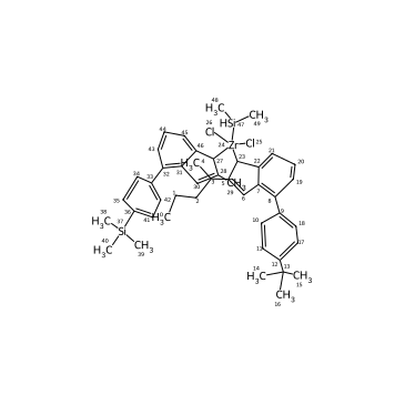 CCCC(C)C1=Cc2c(-c3ccc(C(C)(C)C)cc3)cccc2[CH]1[Zr]([Cl])([Cl])([CH]1C(C)=Cc2c(-c3ccc([Si](C)(C)C)cc3)cccc21)[SiH](C)C